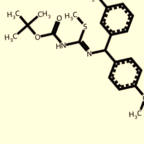 COc1ccc(C(/N=C(/NC(=O)OC(C)(C)C)SC)c2cccc(N)c2)cc1